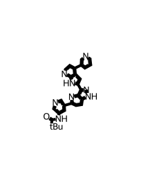 CC(C)(C)C(=O)Nc1cncc(-c2ccc3[nH]nc(-c4cc5c(-c6cccnc6)ccnc5[nH]4)c3n2)c1